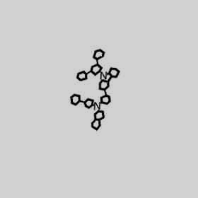 c1ccc(-c2ccc(N(c3cccc(-c4ccc5c(c4)c4ccccc4n5-c4cc(-c5ccccc5)cc(-c5ccccc5)c4)c3)c3ccc4ccccc4c3)cc2)cc1